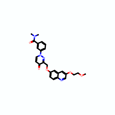 COCCOc1cnc2ccc(OCc3nn(-c4cccc(C(=O)N(C)C)c4)ccc3=O)cc2c1